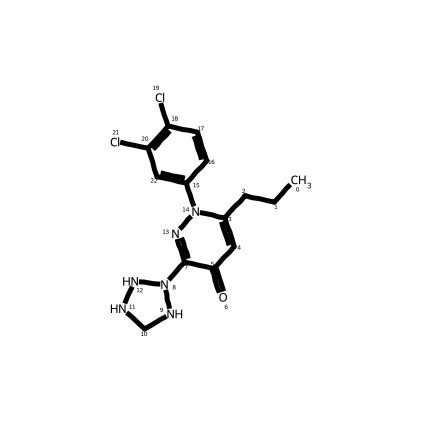 CCCc1cc(=O)c(N2NCNN2)nn1-c1ccc(Cl)c(Cl)c1